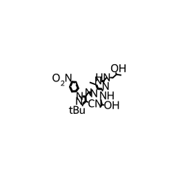 Cc1nc(NCC(C)O)nc(NCC(C)O)c1N=Nc1c(C#N)c(C(C)(C)C)nn1-c1ccc([N+](=O)[O-])cc1